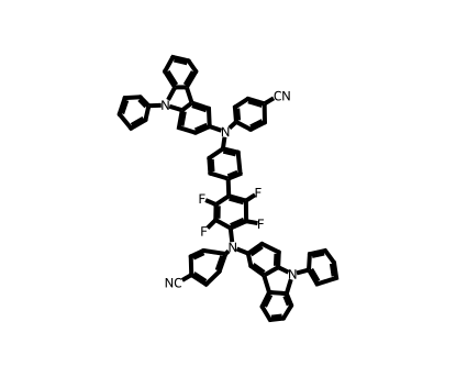 N#Cc1ccc(N(c2ccc(-c3c(F)c(F)c(N(c4ccc(C#N)cc4)c4ccc5c(c4)c4ccccc4n5-c4ccccc4)c(F)c3F)cc2)c2ccc3c(c2)c2ccccc2n3-c2ccccc2)cc1